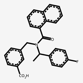 CC(c1ccc(F)cc1)N(Cc1cccc(C(=O)O)c1)C(=O)c1cccc2ccccc12